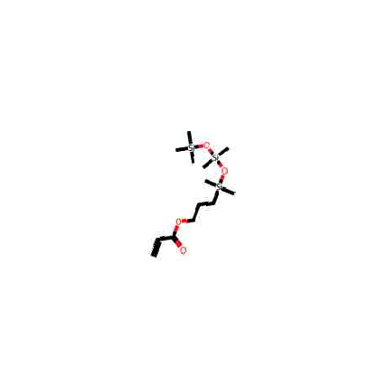 C=CC(=O)OCCC[Si](C)(C)O[Si](C)(C)O[Si](C)(C)C